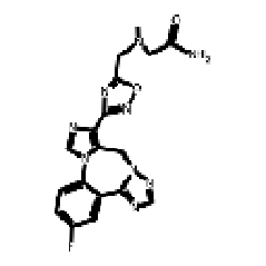 CN(CC(N)=O)Cc1nc(-c2ncn3c2Cn2ncnc2-c2cc(F)ccc2-3)no1